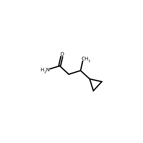 CC(CC(N)=O)C1CC1